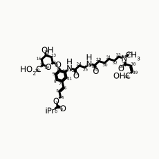 CC(C)C(=O)OC/C=C/c1ccc(OC2CC(O)CC(C(=O)O)O2)c(NC(=O)CCNC(=O)CCCCCN(C)C(=O)/C=C\C=O)c1